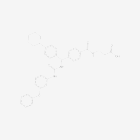 O=C(O)CCNC(=O)c1ccc(C(NC(=O)Nc2cccc(Oc3ccccc3)c2)c2ccc(C3CCCCC3)cc2)cc1